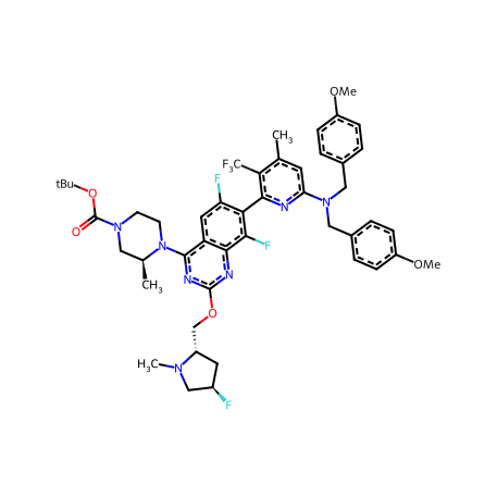 COc1ccc(CN(Cc2ccc(OC)cc2)c2cc(C)c(C(F)(F)F)c(-c3c(F)cc4c(N5CCN(C(=O)OC(C)(C)C)C[C@@H]5C)nc(OC[C@@H]5C[C@@H](F)CN5C)nc4c3F)n2)cc1